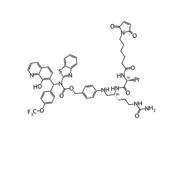 CC(C)[C@H](NC(=O)CCCCCN1C(=O)C=CC1=O)C(=O)N[C@H](CCCNC(N)=O)CNc1ccc(COC(=O)N(c2nc3ccccc3s2)C(c2ccc(OC(F)(F)F)cc2)c2ccc3cccnc3c2O)cc1